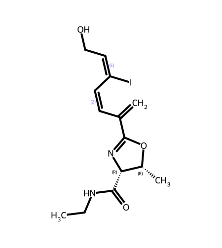 C=C(/C=C\C(I)=C/CO)C1=N[C@@H](C(=O)NCC)[C@@H](C)O1